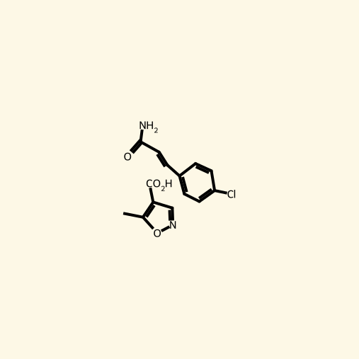 Cc1oncc1C(=O)O.NC(=O)C=Cc1ccc(Cl)cc1